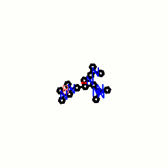 c1ccc(-c2nc(-c3ccccc3)nc(-c3ccc(-n4c5ccccc5c5cc6c7ccccc7n(-c7ccccc7)c6cc54)c(-c4ccc(-c5ccc(N6c7ccccc7B7c8ccccc8N(c8ccccc8)c8cccc6c87)cc5)cc4)c3)n2)cc1